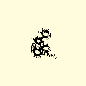 NC1=NC2(CCS1)c1cc(-c3cncnc3)ccc1O[C@H]1CCCC[C@@H]12